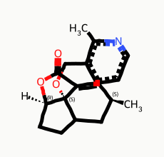 Cc1ncccc1CO[C@]12C3=C[C@@H](C)CC1CC[C@H]2OC3=O